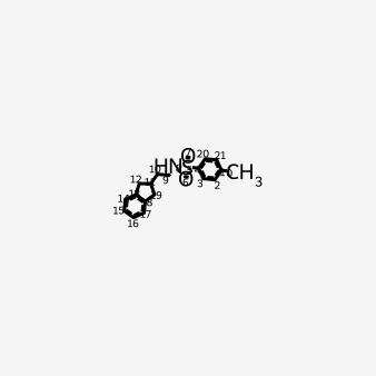 Cc1ccc(S(=O)(=O)NCCC2Cc3ccccc3C2)cc1